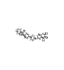 CCc1cc2ncc(CN3CCN(c4ccc(NC(=O)N5CCOCC5)nc4)CC3)cc2[nH]c1=O